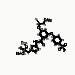 CCOP(=O)(Cn1cnc(NC(=O)c2cc(Oc3ccc(S(C)(=O)=O)cc3)cc(O[C@@H](C)COC)c2)n1)OCC